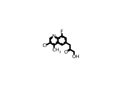 Cc1c(Cl)cnc2c(F)cc(CC(=O)CO)cc12